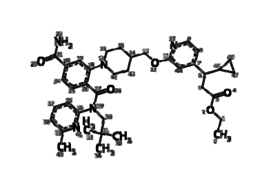 CCOC(=O)CC(c1ccnc(OCC2CCN(c3cc(C(N)=O)ccc3C(=O)N(CC(C)(C)C)c3cccc(C)n3)CC2)c1)C1CC1